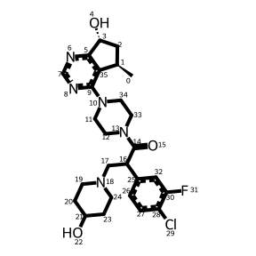 C[C@@H]1C[C@@H](O)c2ncnc(N3CCN(C(=O)C(CN4CCC(O)CC4)c4ccc(Cl)c(F)c4)CC3)c21